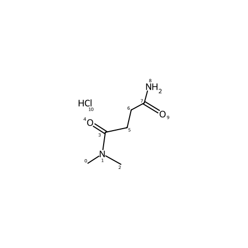 CN(C)C(=O)CCC(N)=O.Cl